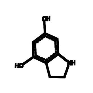 Oc1cc(O)c2c(c1)NCC2